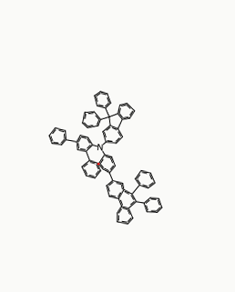 c1ccc(-c2ccc(N(c3ccc(-c4ccc5c(c4)c(-c4ccccc4)c(-c4ccccc4)c4ccccc45)cc3)c3ccc4c(c3)C(c3ccccc3)(c3ccccc3)c3ccccc3-4)c(-c3ccccc3)c2)cc1